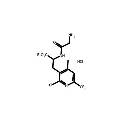 CCOC(=O)C(Cc1c(C)cc(C(F)(F)F)nc1Cl)NC(=O)CN.Cl